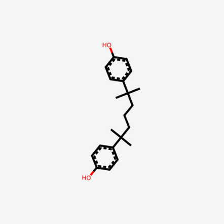 CC(C)(CCCC(C)(C)c1ccc(O)cc1)c1ccc(O)cc1